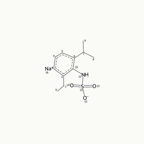 CCc1cccc(C(C)C)c1NS(=O)(=O)[O-].[Na+]